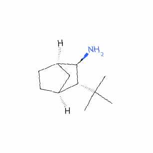 CC(C)(C)[C@@H]1[C@H]2CC[C@H](C2)[C@H]1N